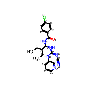 CCC(CC)C(NC(=O)c1ccc(Cl)cc1)N/C(=N/C#N)Nc1cccnc1